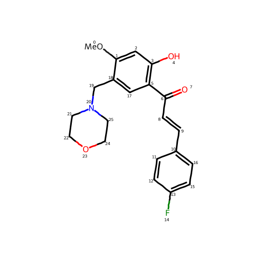 COc1cc(O)c(C(=O)/C=C/c2ccc(F)cc2)cc1CN1CCOCC1